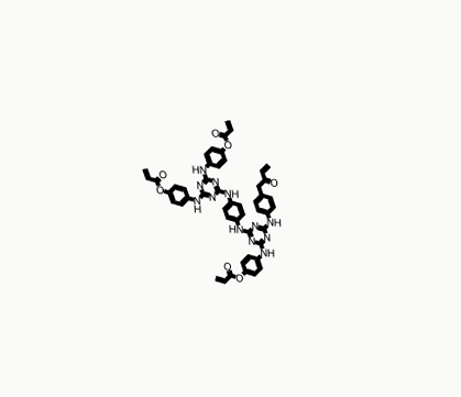 C=CC(=O)Cc1ccc(Nc2nc(Nc3ccc(Nc4nc(Nc5ccc(OC(=O)C=C)cc5)nc(Nc5ccc(OC(=O)C=C)cc5)n4)cc3)nc(Nc3ccc(OC(=O)C=C)cc3)n2)cc1